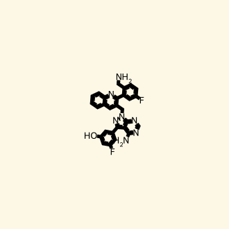 NCc1ccc(F)cc1-c1nc2ccccc2cc1Cn1nc(-c2cc(O)cc(F)c2)c2c(N)ncnc21